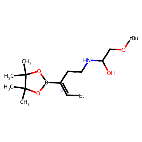 CC/C=C(\CCNC(O)COC(C)(C)C)B1OC(C)(C)C(C)(C)O1